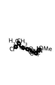 COc1ncc(-c2nc(C(=O)NS(=O)(=O)c3ccc(N4CCN(CC5=C(c6ccc(Cl)cc6)CC(C)(C)CC5)CC4)cc3)ccc2F)cn1